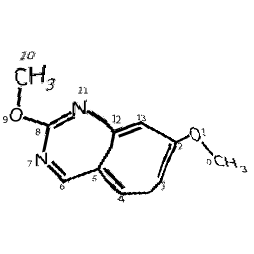 COc1ccc2[c]nc(OC)nc2c1